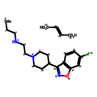 CC(=O)OCCNCCN1CCC(c2noc3cc(F)ccc23)CC1.O=C(O)C=CC(=O)O